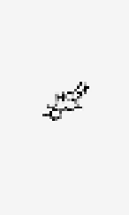 CC1=CCC(/C=C/C(C)C(O)C[Si](C)(C)C)C1(C)C